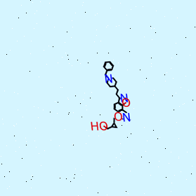 CN(C)Cc1c(OCC2CC2CO)ccc2c(CCC3CCN(Cc4ccccc4)CC3)noc12